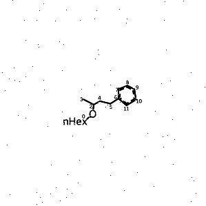 CCCCCCOC(C)CCc1ccccc1